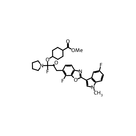 COC(=O)C1CCC(OC(F)(C(=O)Cc2ccc3nc(-c4cn(C)c5ccc(F)cc45)oc3c2F)N2CCCC2)CC1